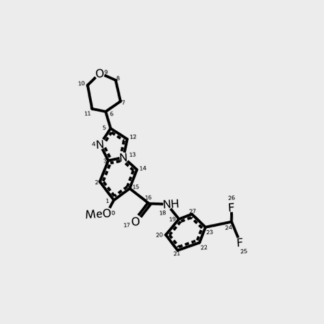 COc1cc2nc(C3CCOCC3)cn2cc1C(=O)Nc1cccc(C(F)F)c1